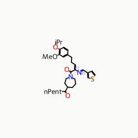 CCCCCC(=O)C1CCCN(C(=O)C(=C\CCc2ccc(OC(C)C)c(OC)c2)/N=C/c2ccsc2)CC1